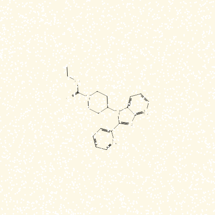 CCOC(=O)N1CCC(n2c(-c3ccccn3)nc3ncccc32)CC1